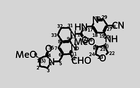 CO[C@H]1CCN(Cc2cc3c(nc2C=O)N(C(=O)Nc2cc(N[C@@H]4COC[C@H]4OC)c(C#N)cn2)CCC3)C1=O